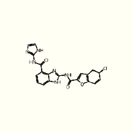 O=C(Nc1nc2c(C(=O)Nc3ncc[nH]3)cccc2[nH]1)c1cc2c(o1)C=CC(Cl)C2